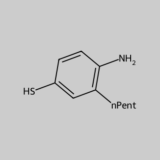 CCCCCc1cc(S)ccc1N